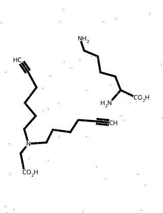 C#CCCCCN(CCCCC#C)CC(=O)O.NCCCCC(N)C(=O)O